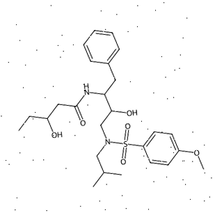 CCC(O)CC(=O)NC(Cc1ccccc1)C(O)CN(CC(C)C)S(=O)(=O)c1ccc(OC)cc1